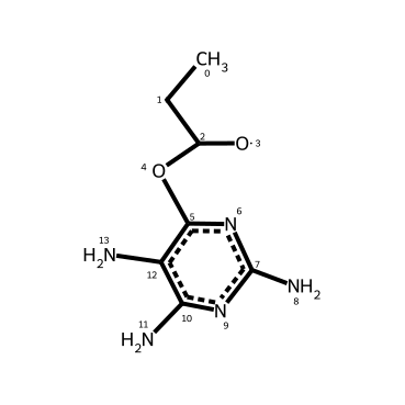 CCC([O])Oc1nc(N)nc(N)c1N